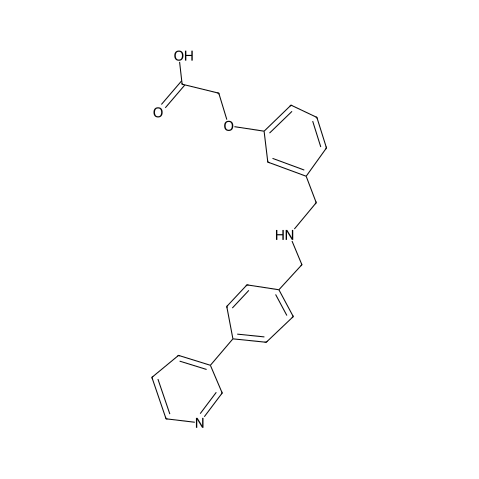 O=C(O)COc1cccc(CNCc2ccc(-c3cccnc3)cc2)c1